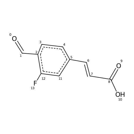 O=Cc1ccc(C=CC(=O)O)cc1F